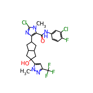 Cn1nc(C(F)(F)F)cc1C1(O)CC2CC(c3nc(Cl)n(C)c3C(=O)Nc3ccc(F)c(Cl)c3)CC2C1